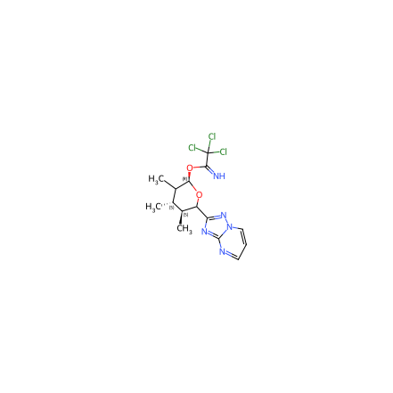 CC1[C@@H](OC(=N)C(Cl)(Cl)Cl)OC(c2nc3ncccn3n2)[C@@H](C)[C@@H]1C